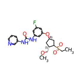 CCS(=O)(=O)C1C[C@H](Oc2cc(F)cc(NC(=O)Nc3cccnc3)c2)C[C@H]1COC